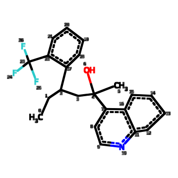 CCC(CC(C)(O)c1ccnc2ccccc12)c1ccccc1C(F)(F)F